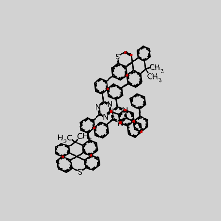 CC1(C)c2ccccc2C2(c3ccccc3Sc3cc(-c4cccc(-c5nc(-c6cccc(-c7cccc8c7C(C)(C)c7ccccc7C87c8ccccc8Sc8ccccc87)c6)nc(-c6ccc7ccccc7c6)n5)c4)ccc32)c2cc(-c3cccc(-c4nc(-c5ccccc5)nc(-c5ccccc5-c5ccccc5)n4)c3)ccc21